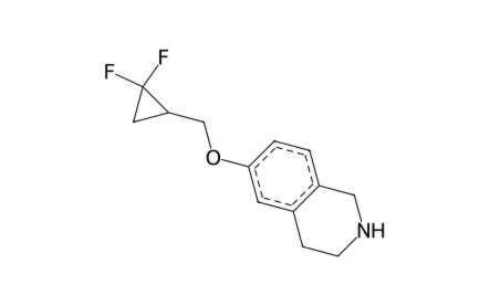 FC1(F)CC1COc1ccc2c(c1)CCNC2